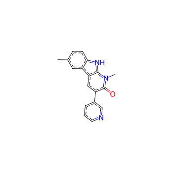 Cc1ccc2[nH]c3c(cc(-c4cccnc4)c(=O)n3C)c2c1